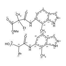 CCC(C)(C(=O)Nc1ccc2cn[nH]c2c1C)C(=O)OC.Cc1c(NC(=O)C(C(=O)O)C(C)C)ccc2cn[nH]c12